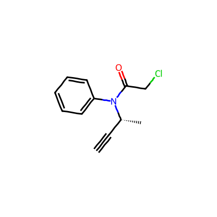 C#C[C@@H](C)N(C(=O)CCl)c1ccccc1